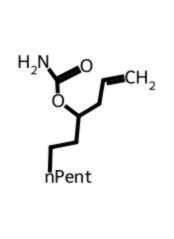 C=CCC(CCCCCCC)OC(N)=O